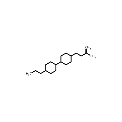 C=C(C)CCC1CCC(C2CCC(CCC)CC2)CC1